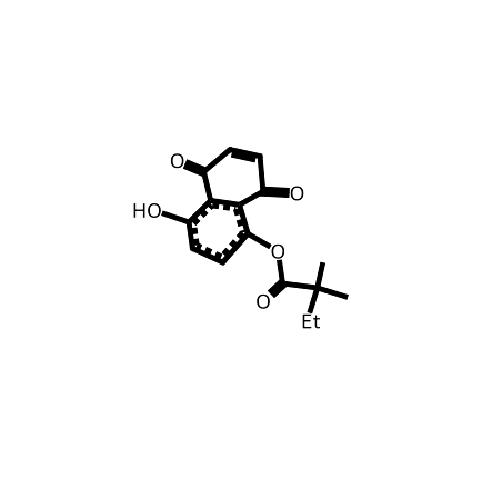 CCC(C)(C)C(=O)Oc1ccc(O)c2c1C(=O)C=CC2=O